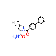 C=C1C[C@@H](C(N)=O)N(C(=O)c2ccc(-c3ccccc3)cc2)C1